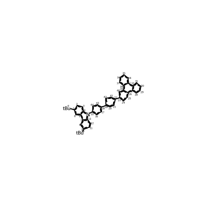 CC(C)(C)c1ccc2c(c1)c1cc(C(C)(C)C)ccc1n2-c1ccc(-c2ccc(-c3ccc4c5ccccc5c5ccccc5c4c3)cc2)cc1